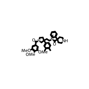 COc1cc(C(=O)N2CCC(CCNC(=O)C3(c4ccccc4)CCNCC3)(c3ccc(C)c(C)c3)C2)cc(OC)c1OC